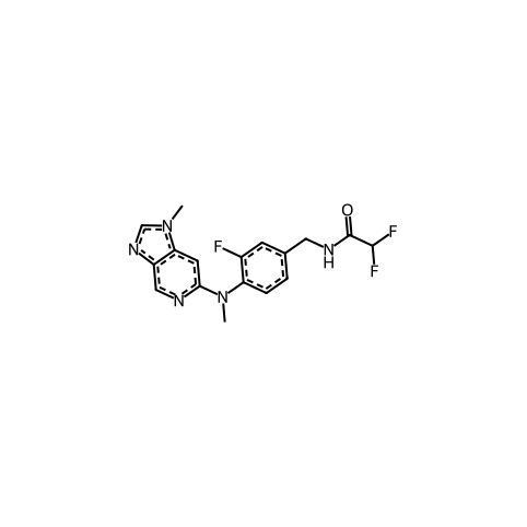 CN(c1cc2c(cn1)ncn2C)c1ccc(CNC(=O)C(F)F)cc1F